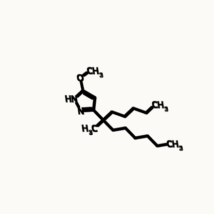 CCCCCCC(C)(CCCCC)c1cc(OC)[nH]n1